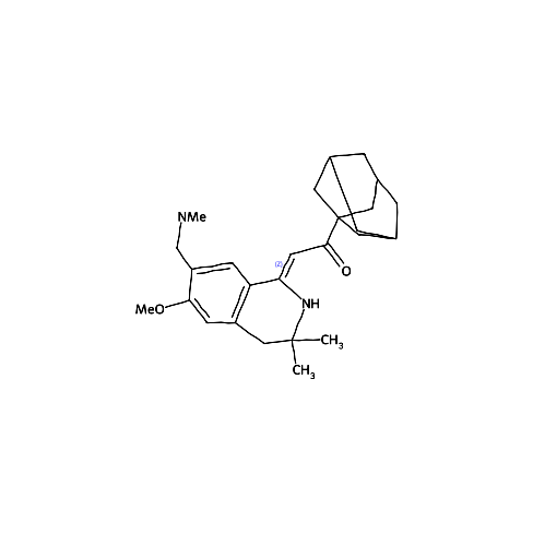 CNCc1cc2c(cc1OC)CC(C)(C)N/C2=C\C(=O)C12CC3CC(CC(C3)C1)C2